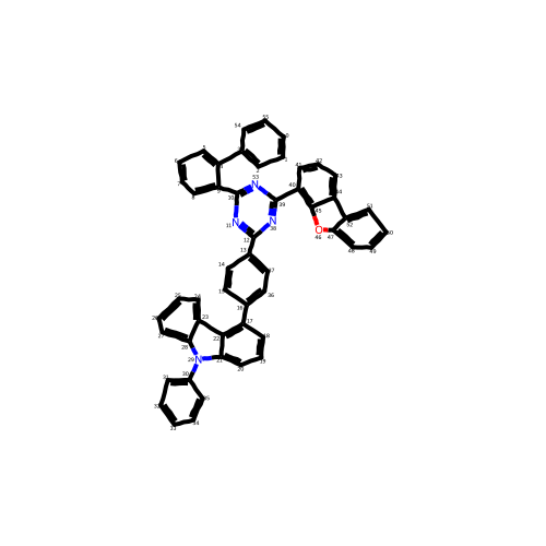 c1ccc(-c2ccccc2-c2nc(-c3ccc(-c4cccc5c4c4ccccc4n5-c4ccccc4)cc3)nc(-c3cccc4c3oc3ccccc34)n2)cc1